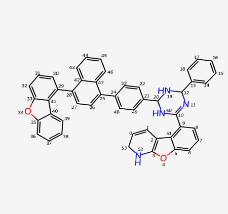 C1=Cc2c(oc3cccc(C4=NC(c5ccccc5)NC(c5ccc(-c6ccc(-c7cccc8oc9ccccc9c78)c7ccccc67)cc5)N4)c23)NC1